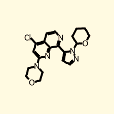 Clc1cc(N2CCOCC2)nc2c(-c3ccnn3C3CCCCO3)nccc12